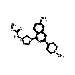 CN1CC=C(c2cc3cc([N+](=O)[O-])ccc3c(N3CC[C@@H](NC(=O)OC(C)(C)C)C3)n2)CC1